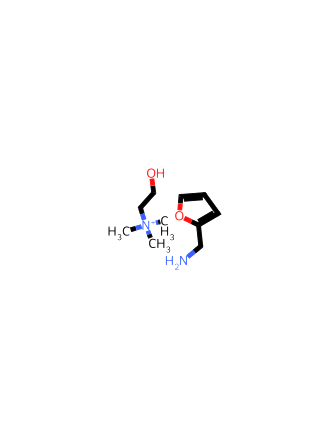 C[N+](C)(C)CCO.NCc1ccco1